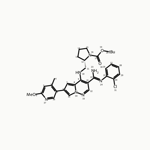 COc1cc(C)c(-c2cc3c(NC[C@@H]4CCCN4C(=O)OC(C)(C)C)c(/C(N)=N/c4ccccc4Cl)cnn3c2)cn1